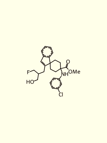 COC(=O)C1(Nc2cccc(Cl)c2)CCC2(CC1)C(CC(CO)CF)=Cc1ccccc12